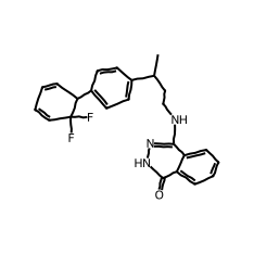 CC(CCNc1n[nH]c(=O)c2ccccc12)c1ccc(C2C=CC=CC2(F)F)cc1